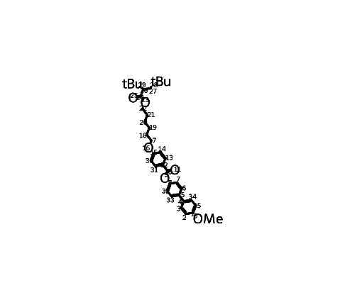 COc1ccc(-c2ccc(OC(=O)c3ccc(OCCCCCCOC(=O)C(CC(C)(C)C)C(C)(C)C)cc3)cc2)cc1